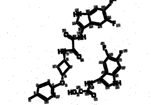 Cc1ccc(O[C@H]2C[C@H](NC(=O)C(=O)Nc3c[nH]c4cc(F)c(F)cc34)C2)nc1.O=C(O)C(=O)Nc1c[nH]c2cc(F)c(F)cc12